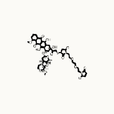 COc1cccc2c1C(=O)c1c(O)c3c(c(O)c1C2=O)C[C@@](O)(C(=O)CSC1CC(=O)N(CCOCCOCCN2C(=O)C=CC2=O)C1=O)C[C@@H]3O[C@H]1C[C@H]2[C@H](O[C@@H]3[C@@H](OC)OCCN32)[C@H](C)O1